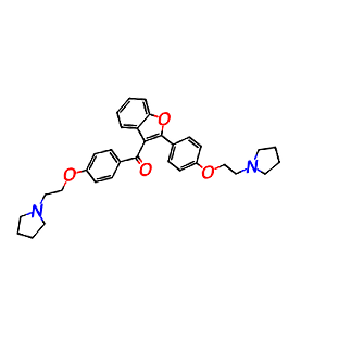 O=C(c1ccc(OCCN2CCCC2)cc1)c1c(-c2ccc(OCCN3CCCC3)cc2)oc2ccccc12